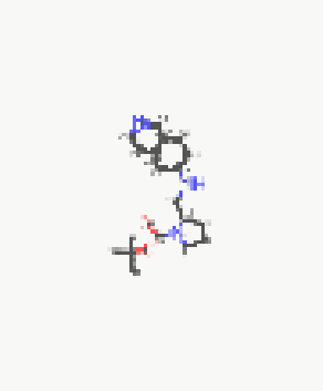 CC(C)(C)OC(=O)N1CCCC1CNc1ccc2cnccc2c1